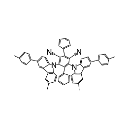 Cc1ccc(-c2ccc3c(c2)c2cc(C)ccc2n3-c2c(C#N)c(-c3ccccc3)c(C#N)c(-n3c4ccc(C)cc4c4cc(-c5ccc(C)cc5)ccc43)c2-c2ccccc2)cc1